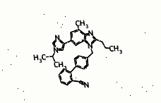 CCCc1nc2c(C)cc(-c3cn(C(C)C)cn3)cc2n1Cc1ccc(-c2ccccc2C#N)cc1